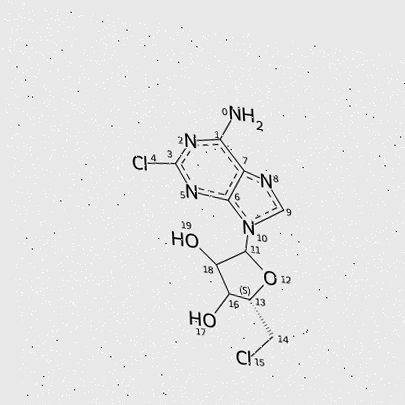 Nc1nc(Cl)nc2c1ncn2C1O[C@H](CCl)C(O)C1O